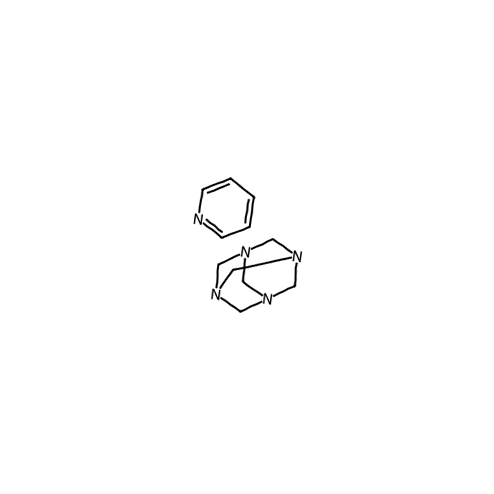 C1N2CN3CN1CN(C2)C3.c1ccncc1